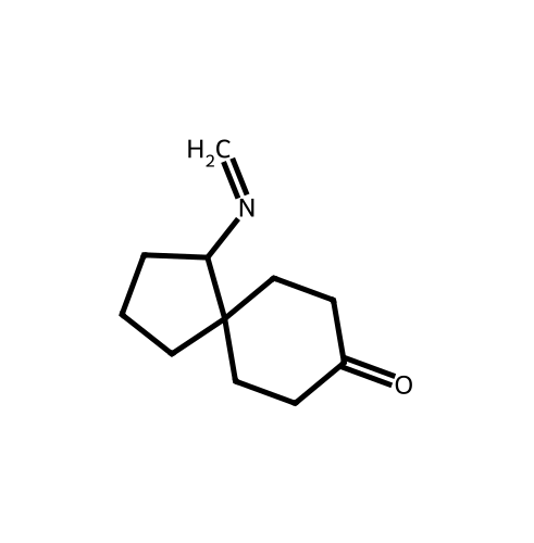 C=NC1CCCC12CCC(=O)CC2